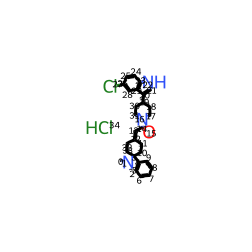 CN(C)C1(c2ccccc2)CCC(=CC(=O)N2CCC(c3c[nH]c4ccc(Cl)cc34)CC2)CC1.Cl